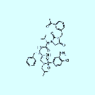 CC(=O)c1cccc(CN2C(=O)CN([C@H](C(=O)N[C@@H](Cc3ccccc3)[C@H](O)CN(CC(C)C)S(=O)(=O)c3ccc(Cl)c(N)c3)C(C)C)C2=O)c1